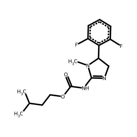 CC(C)CCOC(=O)NC1=NCC(c2c(F)cccc2F)N1C